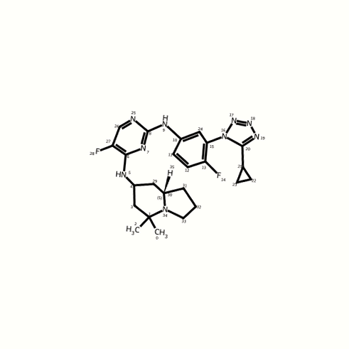 CC1(C)CC(Nc2nc(Nc3ccc(F)c(-n4nnnc4C4CC4)c3)ncc2F)C[C@@H]2CCCN21